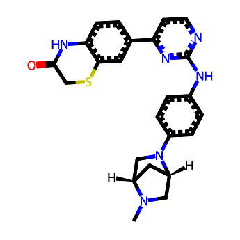 CN1C[C@@H]2C[C@H]1CN2c1ccc(Nc2nccc(-c3ccc4c(c3)SCC(=O)N4)n2)cc1